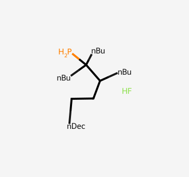 CCCCCCCCCCCCC(CCCC)C(P)(CCCC)CCCC.F